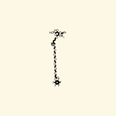 CC(C)C(=O)O[C@@H]1[C@@H](C)[C@H](OCCCc2cn(CCOCCOCCOCCOCCOCCOCCC(=O)Oc3c(F)c(F)c(F)c(F)c3F)nn2)O[C@H](CO)[C@@H]1O